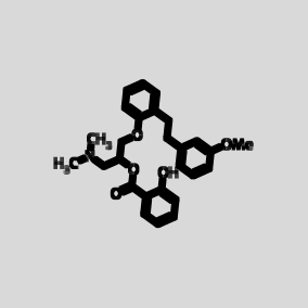 COc1cccc(CCc2ccccc2OCC(CN(C)C)OC(=O)c2ccccc2O)c1